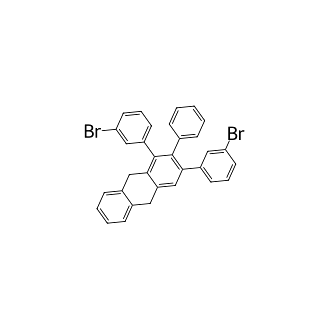 Brc1cccc(-c2cc3c(c(-c4cccc(Br)c4)c2-c2ccccc2)Cc2ccccc2C3)c1